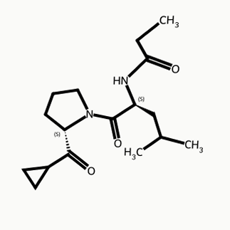 CCC(=O)N[C@@H](CC(C)C)C(=O)N1CCC[C@H]1C(=O)C1CC1